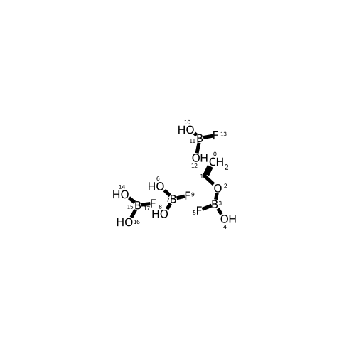 C=COB(O)F.OB(O)F.OB(O)F.OB(O)F